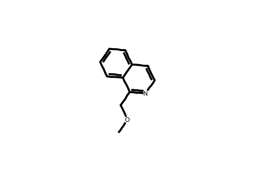 COCc1nc[c]c2ccccc12